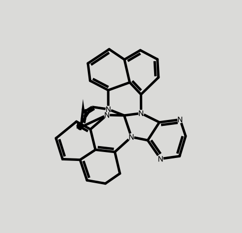 C1=c2cccc3c2=C(CC1)N1c2nccnc2N2c4cccc5cccc(c45)N4c5nccnc5N3C124